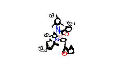 Cc1cc(C(C)(C)C)cc(C)c1N1c2cc(-c3coc4ccccc34)ccc2B2c3oc4ccc(C(C)(C)C)cc4c3N(c3c(C)cc(C(C)(C)C)cc3C)c3cc(C(C)(C)C)cc1c32